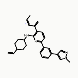 C=CC1CCC(Nc2nc(-c3cccc(-c4cnn(C)c4)c3)ccc2C(=C)/C=C\C)CC1